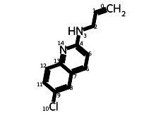 C=CCNc1ccc2cc(Cl)ccc2n1